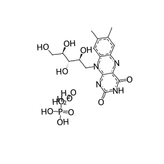 Cc1cc2nc3c(=O)[nH]c(=O)nc-3n(C[C@H](O)[C@H](O)[C@H](O)CO)c2cc1C.O.O.O=P(O)(O)O